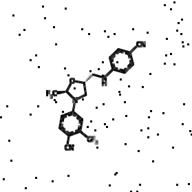 N#Cc1ccc(NC[C@@H]2CN(c3ccc(C#N)c(C(F)(F)F)c3)[C@@H](C(F)(F)F)O2)cc1